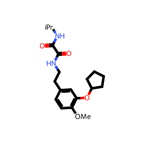 COc1ccc(CCNC(=O)C(=O)NC(C)C)cc1OC1CCCC1